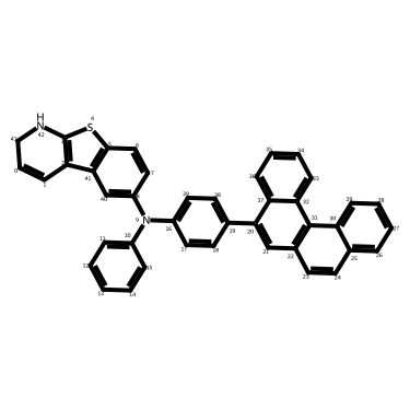 C1=Cc2c(sc3ccc(N(c4ccccc4)c4ccc(-c5cc6ccc7ccccc7c6c6ccccc56)cc4)cc23)NC1